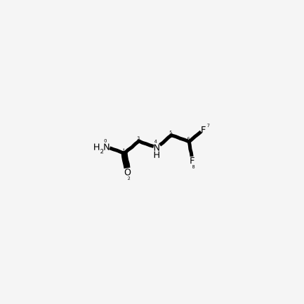 NC(=O)CNCC(F)F